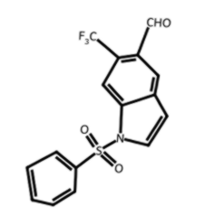 O=Cc1cc2ccn(S(=O)(=O)c3ccccc3)c2cc1C(F)(F)F